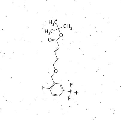 CC(C)(C)OC(=O)C=CCCOCc1cc(C(F)(F)F)ccc1I